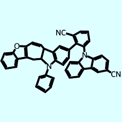 N#Cc1ccc2c(c1)c1ccccc1n2-c1cccc(C#N)c1-c1ccc2c(c1)C1C=Cc3oc4ccccc4c3CC1N2c1ccccc1